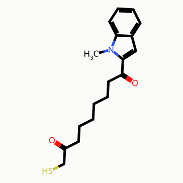 Cn1c(C(=O)CCCCCCC(=O)CS)cc2ccccc21